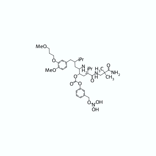 COCCCOc1cc(CC(CC(N)C(CC(C(=O)NCC(C)(C)C(N)=O)C(C)C)OC(=O)Oc2cccc(CON(O)O)c2)C(C)C)ccc1OC